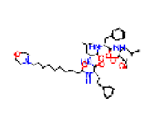 CC(C)CC(NC(=O)[C@H](CCc1ccccc1)NC(=O)CCCCCCCCCN1CCOCC1)C(=O)N[C@@H](Cc1ccccc1)C(=O)NC(CC(C)C)C(=O)C1(C)CO1